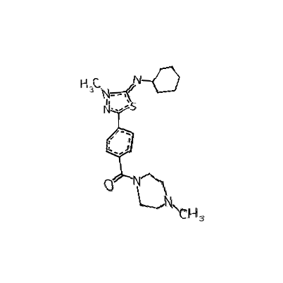 CN1CCN(C(=O)c2ccc(-c3nn(C)c(=NC4CCCCC4)s3)cc2)CC1